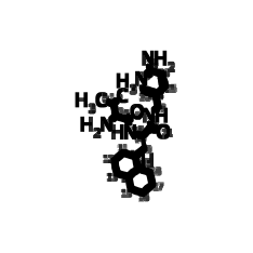 CC(C)C(N)C(=O)N[C@H](CC1CCCC2CCCC[C@@H]21)C(=O)NCc1ccc(N)nc1